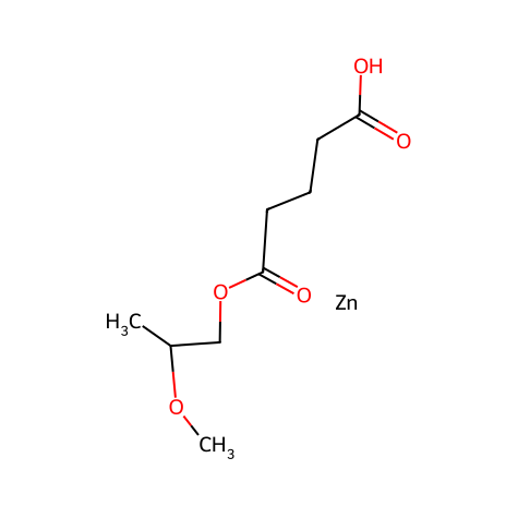 COC(C)COC(=O)CCCC(=O)O.[Zn]